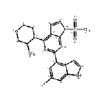 CC1COCCN1c1nc(-c2cc(F)cc3[nH]ccc23)nc2c1ccn2S(C)(=O)=O